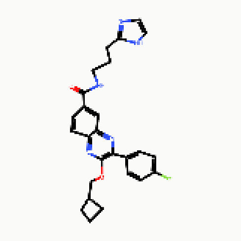 O=C(NCCCc1ncc[nH]1)c1ccc2nc(OCC3CCC3)c(-c3ccc(F)cc3)nc2c1